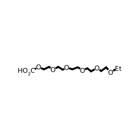 CCOCCOCCOCCOCCOCCOC(=O)O